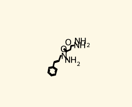 NNC(=O)CC(=O)N(N)CC=Cc1ccccc1